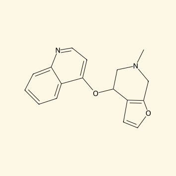 CN1Cc2occc2C(Oc2ccnc3ccccc23)C1